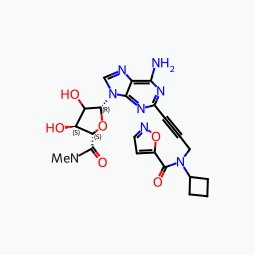 CNC(=O)[C@H]1O[C@@H](n2cnc3c(N)nc(C#CCN(C(=O)c4ccno4)C4CCC4)nc32)C(O)[C@@H]1O